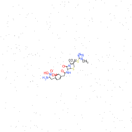 Cn1nnnc1SCC1=C(C(=O)O)N2C(=O)C(NC(=O)Cc3ccc(CC(N)[N+]([O-])(O)O)cc3)C2SC1